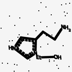 CCO.NCCc1c[nH]cn1